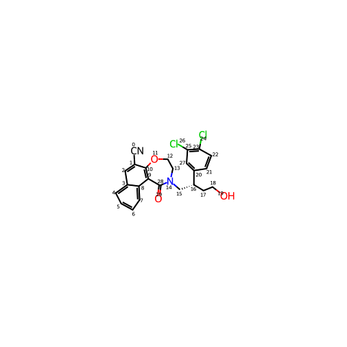 N#Cc1cc2ccccc2c2c1OCCN(C[C@@H](CCO)c1ccc(Cl)c(Cl)c1)C2=O